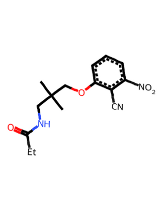 CCC(=O)NCC(C)(C)COc1cccc([N+](=O)[O-])c1C#N